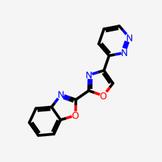 c1cnnc(-c2coc(-c3nc4ccccc4o3)n2)c1